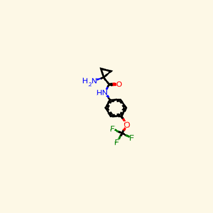 NC1(C(=O)Nc2ccc(OC(F)(F)F)cc2)CC1